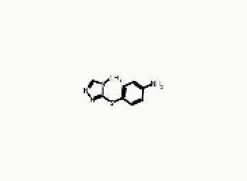 Cn1cnnc1Sc1ccc(N)cc1